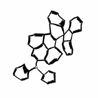 c1ccc(N(c2ccccc2)c2cc3cccc4c5c(c6cccc2c6c34)C2(c3ccccc3-c3ccccc32)c2ccccc2-5)cc1